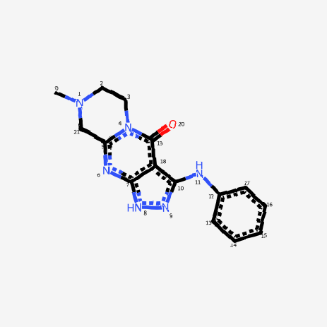 CN1CCn2c(nc3[nH]nc(Nc4ccccc4)c3c2=O)C1